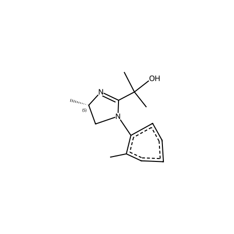 Cc1ccccc1N1C[C@H](C)N=C1C(C)(C)O